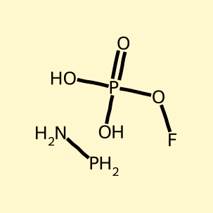 NP.O=P(O)(O)OF